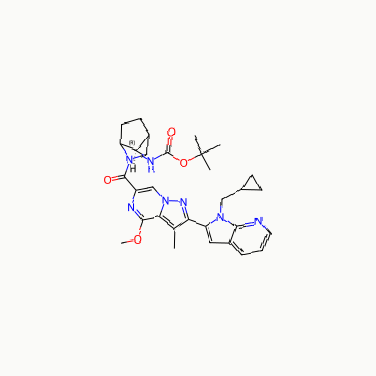 COc1nc(C(=O)N2CC3CCC2[C@@H]3NC(=O)OC(C)(C)C)cn2nc(-c3cc4cccnc4n3CC3CC3)c(C)c12